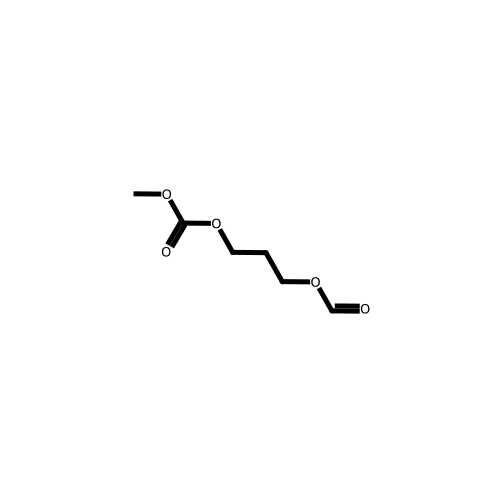 COC(=O)OCCCOC=O